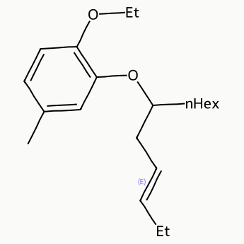 CC/C=C/CC(CCCCCC)Oc1cc(C)ccc1OCC